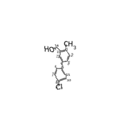 Cc1ccc(-c2ccc(Cl)cc2)cc1CO